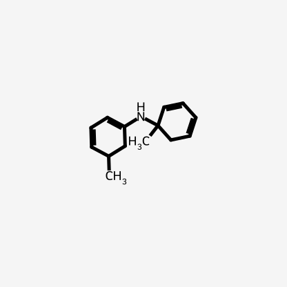 CC1C=CC=C(NC2(C)C=CC=CC2)C1